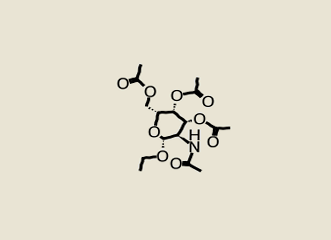 CCO[C@@H]1O[C@H](COC(C)=O)[C@H](OC(C)=O)[C@H](OC(C)=O)[C@H]1NC(C)=O